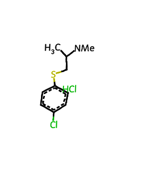 CNC(C)CSc1ccc(Cl)cc1.Cl